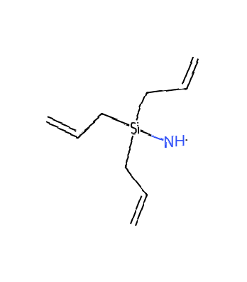 C=CC[Si]([NH])(CC=C)CC=C